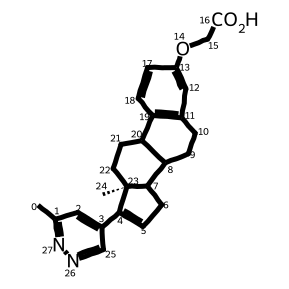 Cc1cc(C2=CCC3C4CCc5cc(OCC(=O)O)ccc5C4CC[C@]23C)cnn1